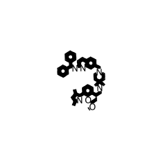 COC(=O)C[C@H](CN1CC2(CCN(Cc3ccc4ccc(N=C(c5ccccc5)c5ccccc5)nc4c3)CC2)C1)c1cccc(C2N=C(C)C=C2C)c1